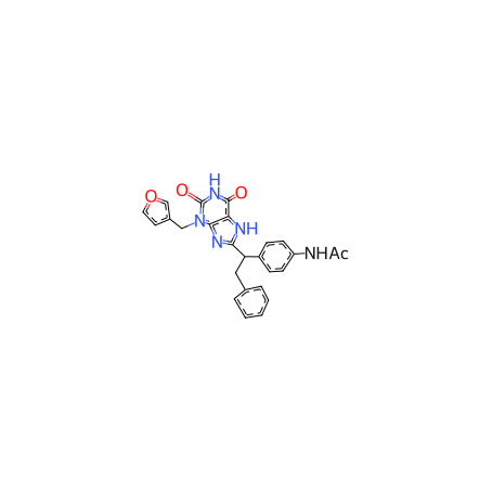 CC(=O)Nc1ccc(C(Cc2ccccc2)c2nc3c([nH]2)c(=O)[nH]c(=O)n3Cc2ccoc2)cc1